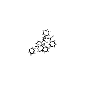 O=C(NC1(CC(=O)N2CC[C@H]3[C@@H](c4ccccc4)Nc4ccccc4[C@H]32)CCOCC1)c1ccccc1